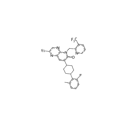 CCc1cnc2c(cc(C3CCC(c4c(C)cccc4F)CC3)c(=O)n2Cc2ncccc2C(F)(F)F)n1